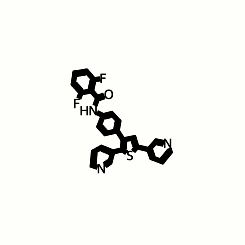 O=C(Nc1ccc(-c2cc(-c3cccnc3)sc2-c2cccnc2)cc1)c1c(F)cccc1F